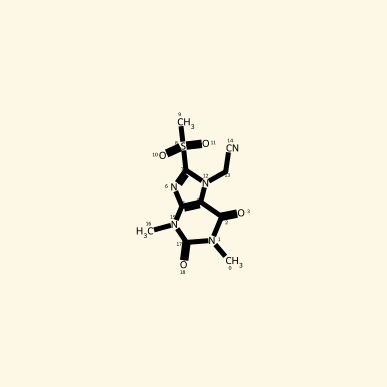 Cn1c(=O)c2c(nc(S(C)(=O)=O)n2CC#N)n(C)c1=O